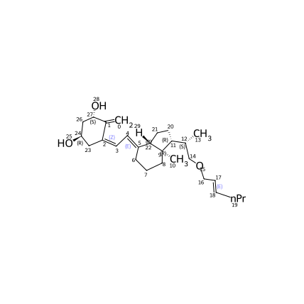 C=C1/C(=C\C=C2/CCC[C@]3(C)[C@@H]([C@H](C)COC/C=C/CCC)CC[C@@H]23)C[C@@H](O)C[C@@H]1O